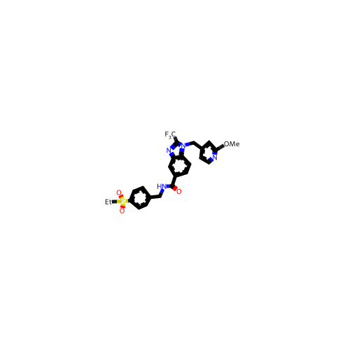 CCS(=O)(=O)c1ccc(CNC(=O)c2ccc3c(c2)nc(C(F)(F)F)n3Cc2ccnc(OC)c2)cc1